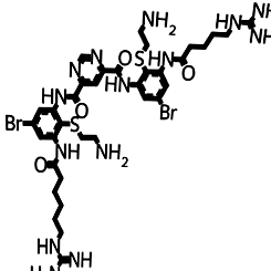 N=C(N)NCCCCCC(=O)Nc1cc(Br)cc(NC(=O)c2cc(C(=O)Nc3cc(Br)cc(NC(=O)CCCCNC(=N)N)c3SCCN)ncn2)c1SCCN